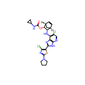 O=C(NC1CC1)O[C@@H]1[C@H](Nc2c(Cl)cnc3[nH]c(-c4sc(N5CCCC5)nc4Cl)nc23)[C@H]2C=C[C@@H]1C2